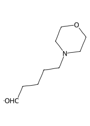 O=[C]CCCCN1CCOCC1